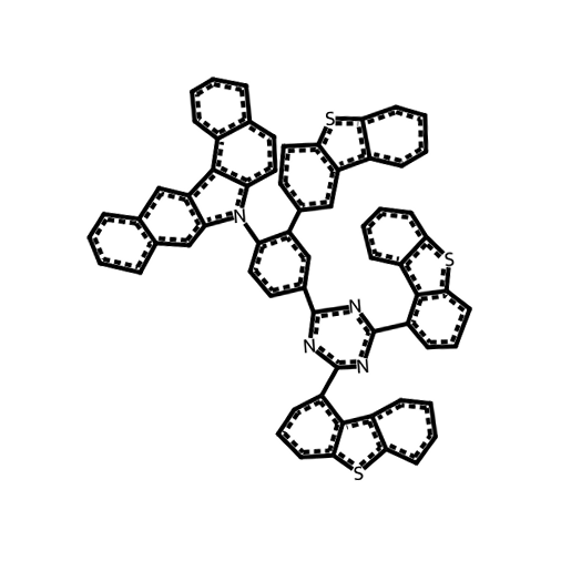 c1ccc2cc3c(cc2c1)c1c2ccccc2ccc1n3-c1ccc(-c2nc(-c3cccc4sc5ccccc5c34)nc(-c3cccc4sc5ccccc5c34)n2)cc1-c1ccc2sc3ccccc3c2c1